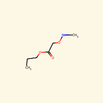 CCCOC(=O)CO[N]C